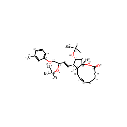 CC[Si](CC)(CC)OC(C=C[C@@H]1[C@H]2CC=CCCCC(=O)O[C@H]2C[C@H]1O[Si](C)(C)C(C)(C)C)COc1cccc(C(F)(F)F)c1